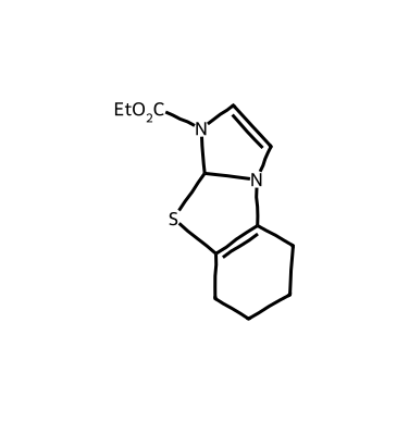 CCOC(=O)N1C=CN2C3=C(CCCC3)SC12